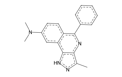 Cc1n[nH]c2c1nc(-c1ccccc1)c1ccc(N(C)C)cc12